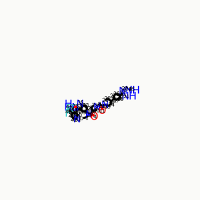 CCN(C(=O)[C@@H]1CCN(CC(=O)N2CC=C(c3ccc(C(=N)/N=C\NC)cc3)CC2)C1)c1ccc(N)c(C(=N)c2cnccc2C(F)(F)F)c1